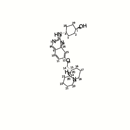 O[C@H]1CC[C@H](Nc2ncc3ccc(OC[C@@H]4CCCN5CCCC[C@H]45)cc3n2)CC1